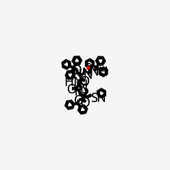 O=C(NC1C(=O)N2CC(C=CSc3ccccn3)(C(=O)OC(c3ccccc3)c3ccccc3)CS[C@H]12)C(=NOC(c1ccccc1)(c1ccccc1)c1ccccc1)c1csc(NC(c2ccccc2)(c2ccccc2)c2ccccc2)n1